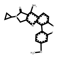 COc1ccc(-c2c(F)ccc3c(N)c4c(nc23)CN(C2CC2)C4=O)c(F)c1